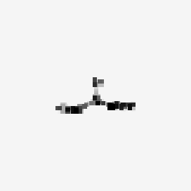 [CH]CN(CCCCC)CCCCC